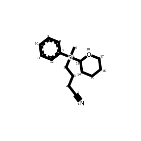 C[Si](CCCC#N)(c1ccccc1)C1CCCCO1